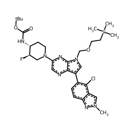 Cn1cc2c(Cl)c(-c3cn(COCC[Si](C)(C)C)c4nc(N5CC[C@@H](NC(=O)OC(C)(C)C)[C@H](F)C5)cnc34)ccc2n1